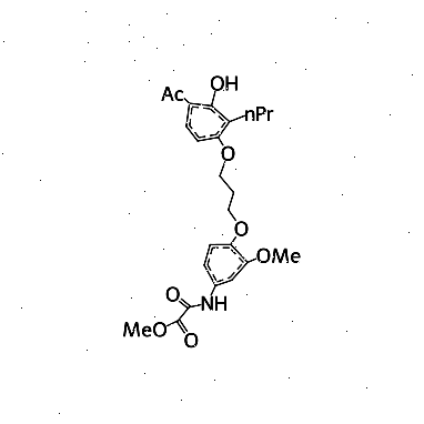 CCCc1c(OCCCOc2ccc(NC(=O)C(=O)OC)cc2OC)ccc(C(C)=O)c1O